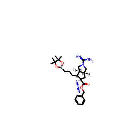 CC1(C)OB(CCC[C@H]2[C@@H]3CN(C(=N)N)C[C@@H]3C[C@@]2(N=[N+]=[N-])C(=O)OCc2ccccc2)OC1(C)C